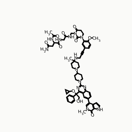 COc1ccc(C#CCNC2(C)CCN(C3CCN(c4nc(C(CO)(OC5CC5)c5ccccc5)c5cc(-c6cn(C)c(=O)c7[nH]ccc67)ccc5n4)CC3)CC2)cc1N1CCC(=O)N(CNC(=O)CNC(=O)C(CC(N)=O)NC(C)=O)C1=O